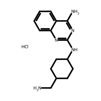 Cl.NCC1CCC(Nc2nc(N)c3ccccc3n2)CC1